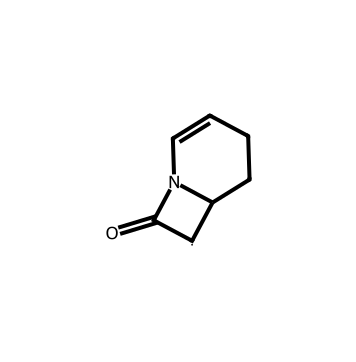 O=C1[CH]C2CCC=CN12